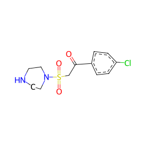 O=C(CS(=O)(=O)N1CCNCC1)c1ccc(Cl)cc1